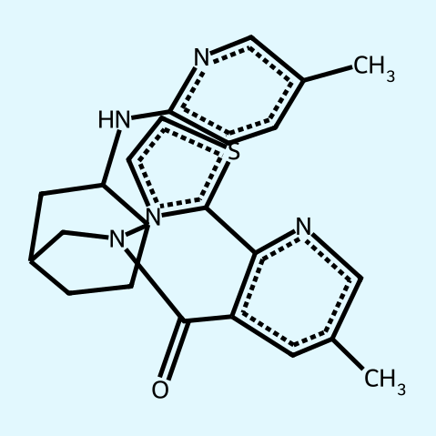 Cc1ccc(NC2CC3CCC2N(C(=O)c2cc(C)cnc2-c2nccs2)C3)nc1